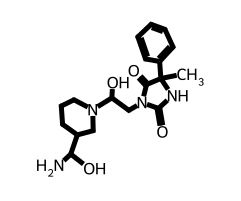 CC1(c2ccccc2)NC(=O)N(CC(O)N2CCCC(C(N)O)C2)C1=O